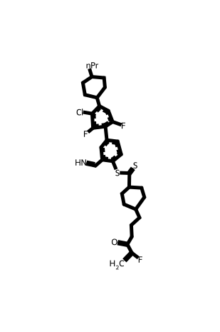 C=C(F)C(=O)CCCC1CCC(C(=S)Sc2ccc(-c3c(F)cc(C4CCC(CCC)CC4)c(Cl)c3F)cc2C=N)CC1